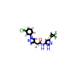 C[C@@H](C(=O)Nc1cc([C@H]2CC2(F)F)n[nH]1)c1cnn(-c2cccc(Cl)c2)c1